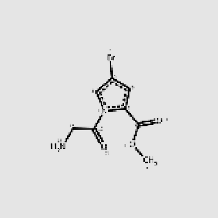 COC(=O)c1cc(Br)cn1C(=O)CN